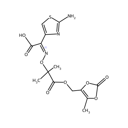 Cc1oc(=O)oc1COC(=O)C(C)(C)O/N=C(\C(=O)O)c1csc(N)n1